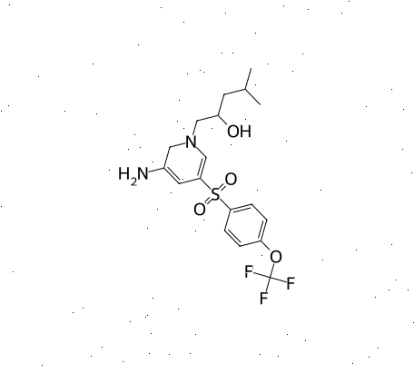 CC(C)CC(O)CN1C=C(S(=O)(=O)c2ccc(OC(F)(F)F)cc2)C=C(N)C1